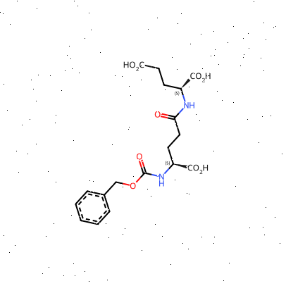 O=C(O)CC[C@H](NC(=O)CC[C@H](NC(=O)OCc1ccccc1)C(=O)O)C(=O)O